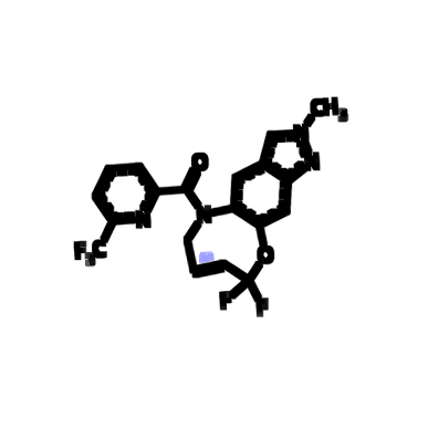 Cn1cc2cc3c(cc2n1)OC(F)(F)/C=C/CN3C(=O)c1cccc(C(F)(F)F)n1